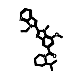 CCn1c(-c2nc3cc(C(=O)N4CCCCC4C(C)C)cc(OC)c3n2C)cc2cccnc21